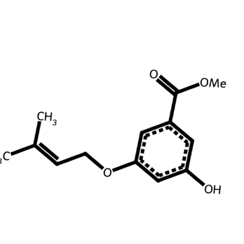 COC(=O)c1cc(O)cc(OCC=C(C)C)c1